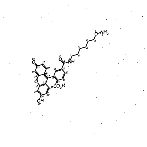 NOCCCCCCNC(=O)c1ccc(C(=O)O)c(-c2c3ccc(=O)cc-3oc3cc(O)ccc23)c1